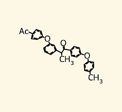 CC(=O)c1ccc(Oc2cccc(C(C)C(=O)c3ccc(Oc4ccc(C)cc4)cc3)c2)cc1